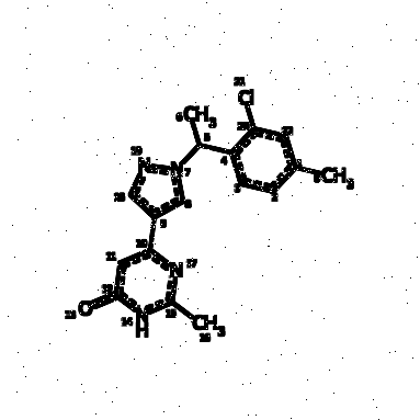 Cc1ccc(C(C)n2cc(-c3cc(=O)[nH]c(C)n3)cn2)c(Cl)c1